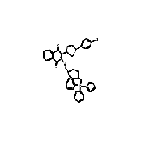 O=C1C(OCC2CCC(C[PH](c3ccccc3)(c3ccccc3)c3ccccc3)CC2)=C(C2CCC(c3ccc(Cl)cc3)CC2)C(=O)c2ccccc21